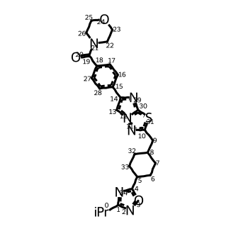 CC(C)c1noc(C2CCC(Cc3nn4cc(-c5ccc(C(=O)N6CCOCC6)cc5)nc4s3)CC2)n1